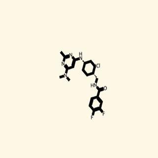 Cc1nc(N[C@H]2CC[C@@H](CNC(=O)c3ccc(F)c(F)c3)CC2)cc(N(C)C)n1.Cl